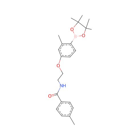 Cc1ccc(C(=O)NCCOc2ccc(B3OC(C)(C)C(C)(C)O3)c(C)c2)cc1